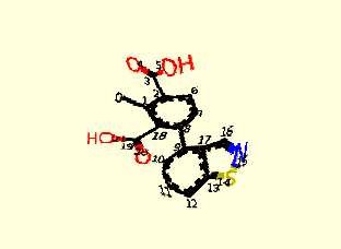 Cc1c(C(=O)O)ccc(-c2cccc3sncc23)c1C(=O)O